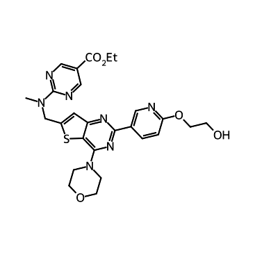 CCOC(=O)c1cnc(N(C)Cc2cc3nc(-c4ccc(OCCO)nc4)nc(N4CCOCC4)c3s2)nc1